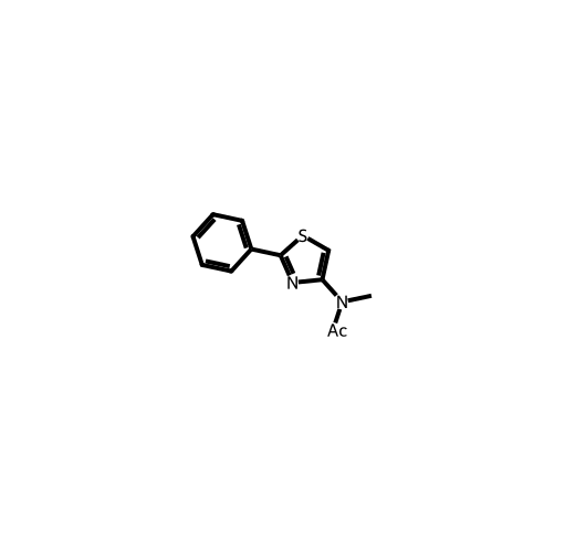 CC(=O)N(C)c1csc(-c2ccccc2)n1